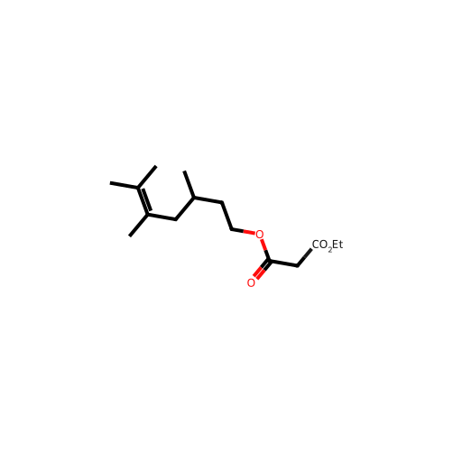 CCOC(=O)CC(=O)OCCC(C)CC(C)=C(C)C